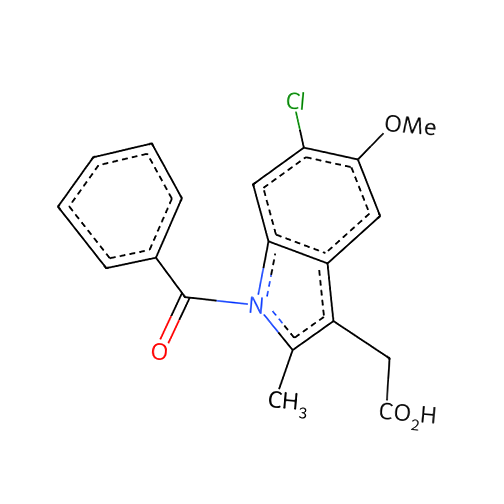 COc1cc2c(CC(=O)O)c(C)n(C(=O)c3ccccc3)c2cc1Cl